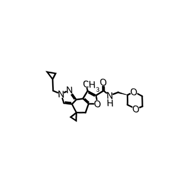 Cc1c(C(=O)NC[C@@H]2COCCO2)oc2c1-c1nn(CC3CC3)cc1C1(CC1)C2